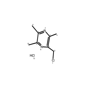 Cc1nc(C)c(CCl)nc1C.Cl